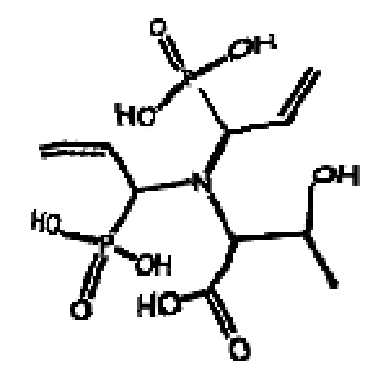 C=CC(N(C(C(=O)O)C(C)O)C(C=C)P(=O)(O)O)P(=O)(O)O